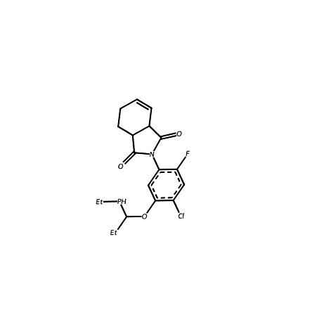 CCPC(CC)Oc1cc(N2C(=O)C3C=CCCC3C2=O)c(F)cc1Cl